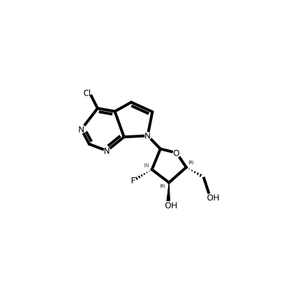 OC[C@H]1OC(n2ccc3c(Cl)ncnc32)[C@@H](F)[C@@H]1O